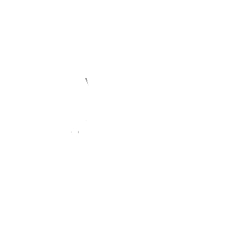 CCCC[C@@H]1CC(=O)C[C@@H](C)C1